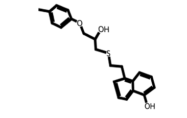 Cc1ccc(OCC(O)CSCCc2cccc3c(O)cccc23)cc1